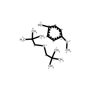 CC(C)(C)COCC(C)(C)C.COc1ccc(O)cc1